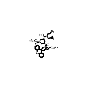 COCCCCC1(CNC(=O)[C@H]2C[C@@H](C(O)N(CCC(C)C)CC3CC3)CN(C(=O)OC(C)(C)C)C2)c2ccccc2Oc2ccccc21